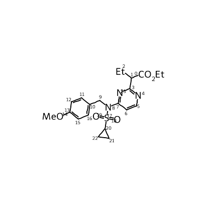 CCOC(=O)C(CC)c1nccc(N(Cc2ccc(OC)cc2)S(=O)(=O)C2CC2)n1